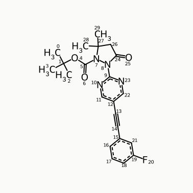 CC(C)(C)OC(=O)N1N(c2ncc(C#Cc3cccc(F)c3)cn2)C(=O)CC1(C)C